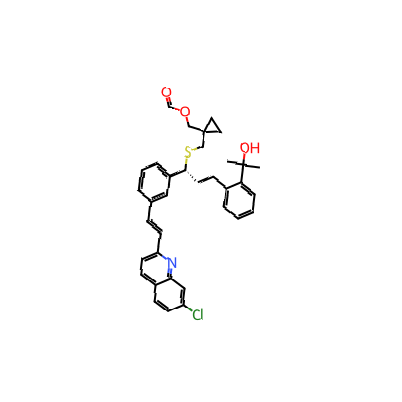 CC(C)(O)c1ccccc1CC[C@@H](SCC1(COC=O)CC1)c1cccc(/C=C/c2ccc3ccc(Cl)cc3n2)c1